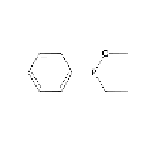 CCP(OC)c1ccccc1